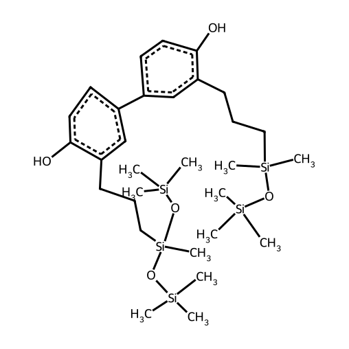 C[Si](C)(C)O[Si](C)(C)CCCc1cc(-c2ccc(O)c(CCC[Si](C)(O[Si](C)(C)C)O[Si](C)(C)C)c2)ccc1O